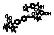 COC(=O)C[C@@H]1N=C(c2ccc(-c3ccc(SCC(=O)NC(C(=O)N4C[C@H](O)C[C@H]4C(=O)NC(C)c4ccc(-c5scnc5C)cc4)C(C)(C)C)cc3)cc2)c2c(sc(C)c2C)-n2c(C)nnc21